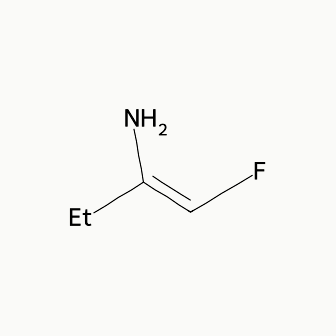 CCC(N)=CF